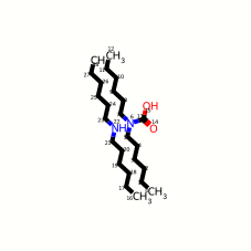 CCCCCCN(CCCCCC)C(=O)O.CCCCCCNCCCCCC